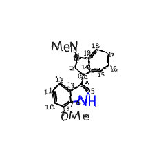 CN[C@@H]1C[C@H](c2c[nH]c3c(OC)cccc23)c2ccccc21